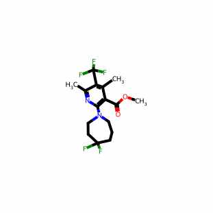 COC(=O)c1c(N2CCCC(F)(F)CC2)nc(C)c(C(F)(F)F)c1C